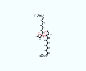 CCCCCCCCCCCCCCCCCC1(OC2(CCCCCCCCCCCCCCCCC)CCO2)CCO1